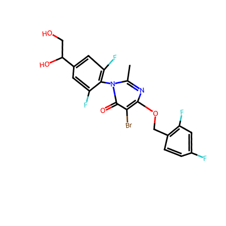 Cc1nc(OCc2ccc(F)cc2F)c(Br)c(=O)n1-c1c(F)cc(C(O)CO)cc1F